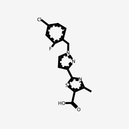 Cc1nc(-c2ccn(Cc3ccc(Cl)cc3F)n2)sc1C(=O)O